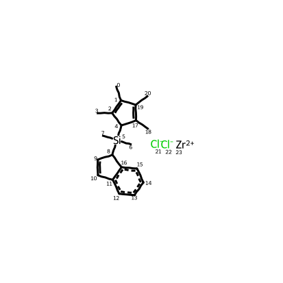 CC1=C(C)C([Si](C)(C)C2C=Cc3ccccc32)C(C)=C1C.[Cl-].[Cl-].[Zr+2]